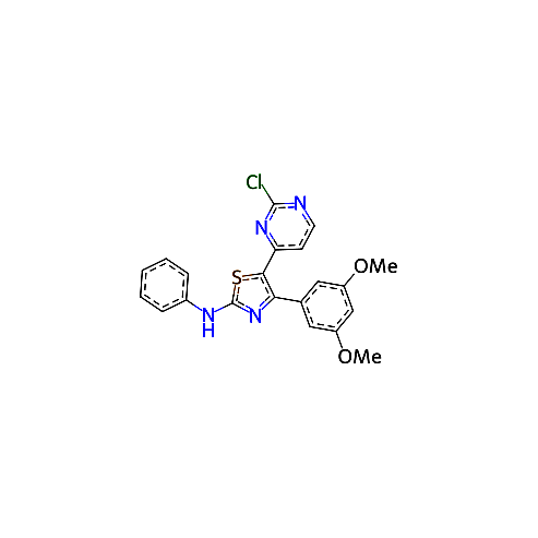 COc1cc(OC)cc(-c2nc(Nc3ccccc3)sc2-c2ccnc(Cl)n2)c1